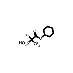 CC(C)C(C(=O)OC1CCCCC1)(C(F)(F)F)S(=O)(=O)O